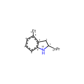 CCCC1Cc2c(CC)cccc2N1